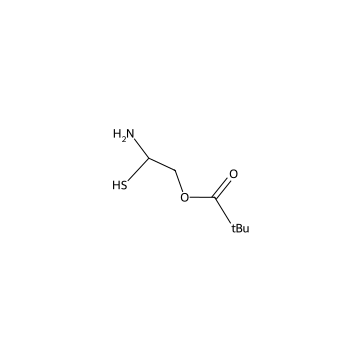 CC(C)(C)C(=O)OCC(N)S